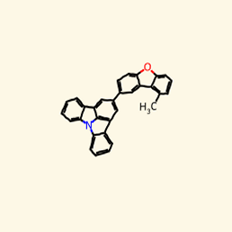 Cc1cccc2oc3ccc(-c4cc5c6ccccc6n6c7ccccc7c(c4)c56)cc3c12